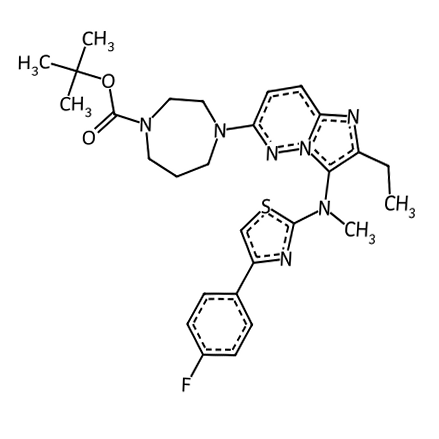 CCc1nc2ccc(N3CCCN(C(=O)OC(C)(C)C)CC3)nn2c1N(C)c1nc(-c2ccc(F)cc2)cs1